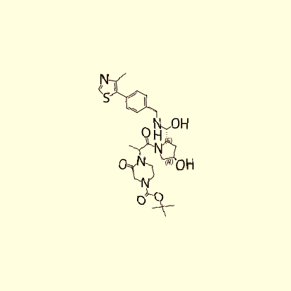 Cc1ncsc1-c1ccc(CNC(O)[C@@H]2C[C@@H](O)CN2C(=O)C(C)N2CCN(C(=O)OC(C)(C)C)CC2=O)cc1